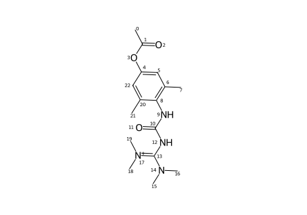 CC(=O)Oc1cc(C)c(NC(=O)NC(N(C)C)=[N+](C)C)c(C)c1